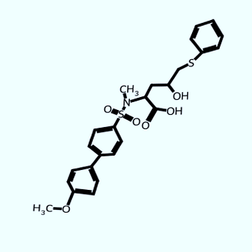 COc1ccc(-c2ccc(S(=O)(=O)N(C)C(CC(O)CSc3ccccc3)C(=O)O)cc2)cc1